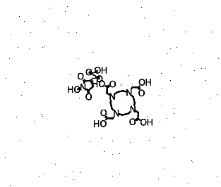 O=C(O)CN1CCN(CC(=O)O)CCN(CC(=O)O)CCN(CC(=O)O)CC1.O=C1CC(S(=O)(=O)O)C(=O)N1O